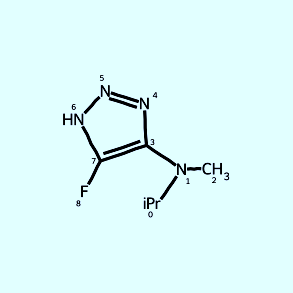 CC(C)N(C)c1nn[nH]c1F